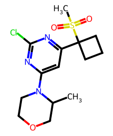 CC1COCCN1c1cc(C2(S(C)(=O)=O)CCC2)nc(Cl)n1